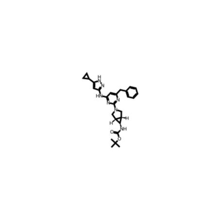 CC(C)(C)OC(=O)N[C@H]1[C@@H]2CN(c3nc(Cc4ccccc4)cc(Nc4cc(C5CC5)[nH]n4)n3)C[C@@H]21